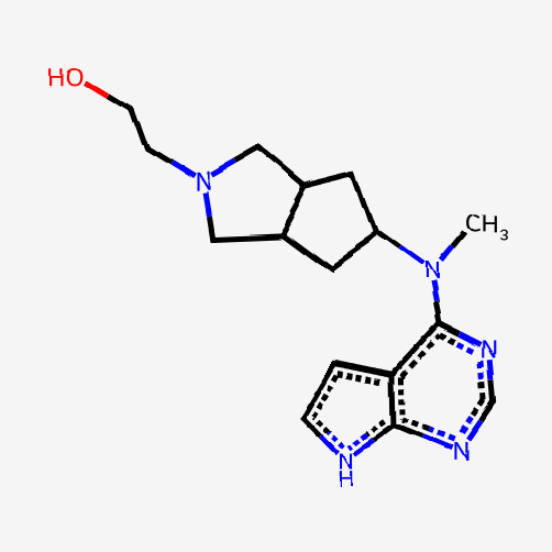 CN(c1ncnc2[nH]ccc12)C1CC2CN(CCO)CC2C1